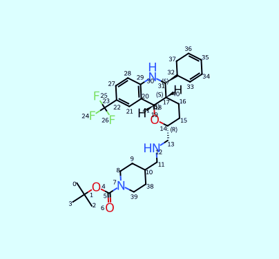 CC(C)(C)OC(=O)N1CCC(CNC[C@H]2CC[C@@H]3[C@H](O2)c2cc(C(F)(F)F)ccc2N[C@H]3C2C=CC=CC2)CC1